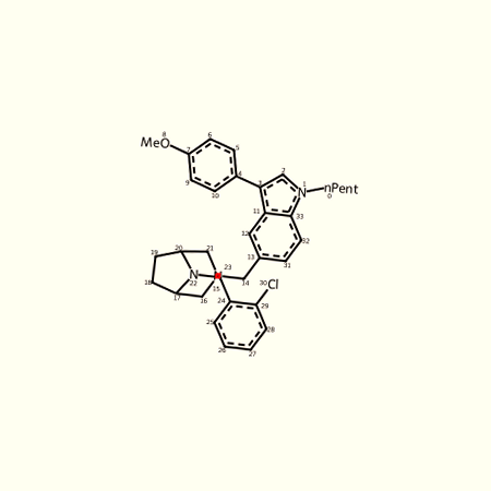 CCCCCn1cc(-c2ccc(OC)cc2)c2cc(CN3CC4CCC(C3)N4Cc3ccccc3Cl)ccc21